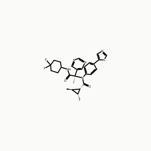 C[C@@H]1[C@@H](F)[C@H]1C(=O)N(c1ccc(-c2cncs2)cc1)[C@@](C)(C(=O)NC1CCC(F)(F)CC1)c1cncnc1